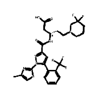 Cc1csc(-n2nc(C(=O)N[C@@H](CCN3CCCC(F)(F)C3)CC(=O)O)cc2-c2ccccc2C(F)(F)F)n1